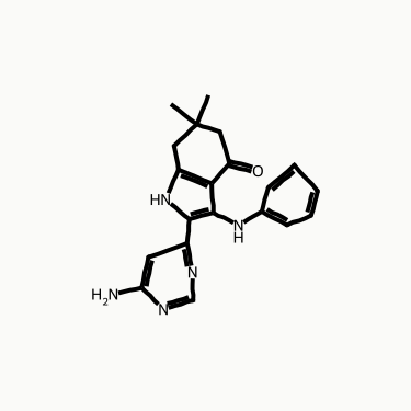 CC1(C)CC(=O)c2c([nH]c(-c3cc(N)ncn3)c2Nc2ccccc2)C1